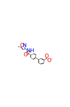 COC(=O)c1cccc(-c2ccc([S+]([O-])Nc3cc(C)on3)cc2)c1